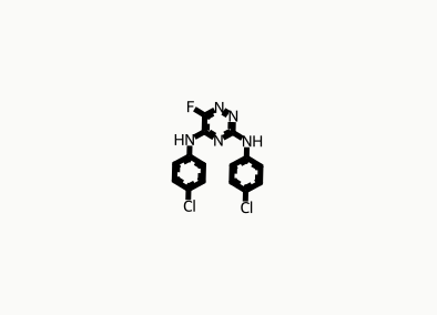 Fc1nnc(Nc2ccc(Cl)cc2)nc1Nc1ccc(Cl)cc1